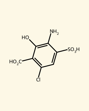 Nc1c(S(=O)(=O)O)cc(Cl)c(C(=O)O)c1O